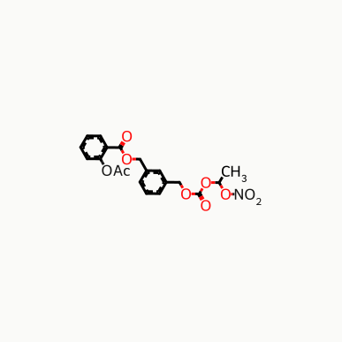 CC(=O)Oc1ccccc1C(=O)OCc1cccc(COC(=O)OC(C)O[N+](=O)[O-])c1